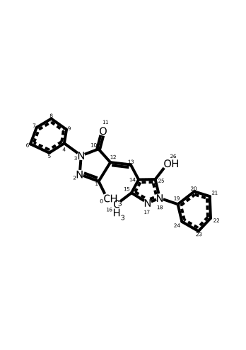 CC1=NN(c2ccccc2)C(=O)C1=Cc1c(C)nn(-c2ccccc2)c1O